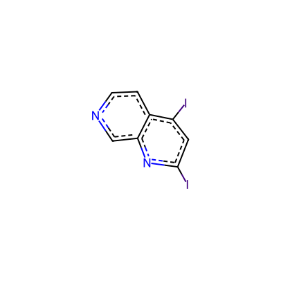 Ic1cc(I)c2ccncc2n1